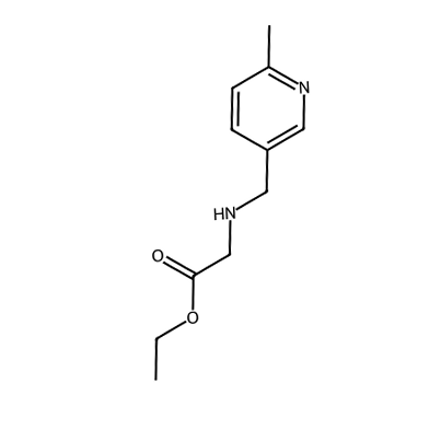 CCOC(=O)CNCc1ccc(C)nc1